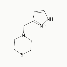 C1=CC(CN2CCSCC2)=[N+]N1